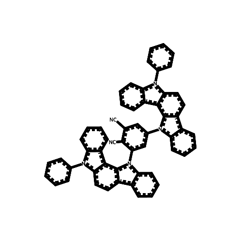 N#Cc1cc(-n2c3ccccc3c3ccc4c(c5ccccc5n4-c4ccccc4)c32)cc(-n2c3ccccc3c3ccc4c(c5ccccc5n4-c4ccccc4)c32)c1C#N